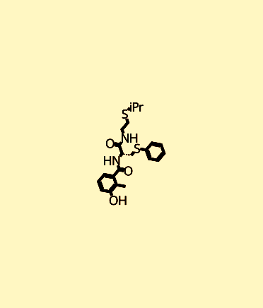 Cc1c(O)cccc1C(=O)N[C@@H](CSc1ccccc1)C(=O)NCCSC(C)C